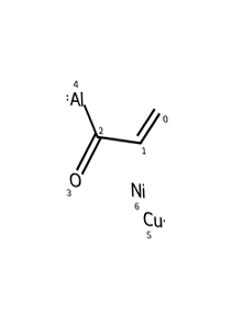 C=C[C](=O)[Al].[Cu].[Ni]